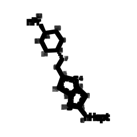 CCCCCCCc1cc2sc(CC[C@H]3CC[C@H](CCC)CC3)cc2s1